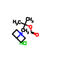 C1CN2CCC12.CC(C)(C)OC=O.Cl